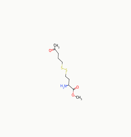 COC(=O)[C@@H](N)CCSSCCCC(C)=O